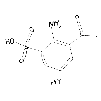 CC(=O)c1cccc(S(=O)(=O)O)c1N.Cl